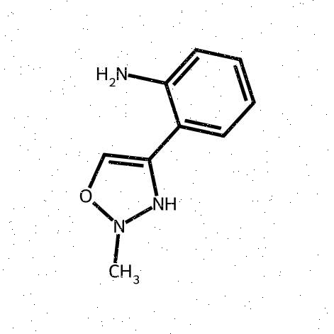 CN1NC(c2ccccc2N)=CO1